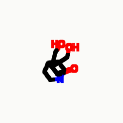 O=C1N2CCC(CC2)C1(CO)CO